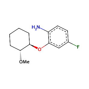 CO[C@@H]1CCCC[C@H]1Oc1cc(F)ccc1N